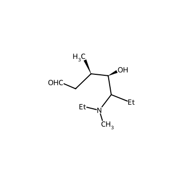 CCC([C@H](O)[C@H](C)CC=O)N(C)CC